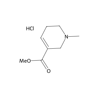 COC(=O)C1=CCCN(C)C1.Cl